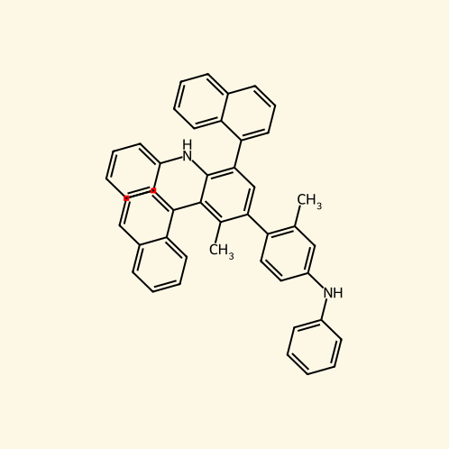 Cc1cc(Nc2ccccc2)ccc1-c1cc(-c2cccc3ccccc23)c(Nc2ccccc2)c(-c2cccc3ccccc23)c1C